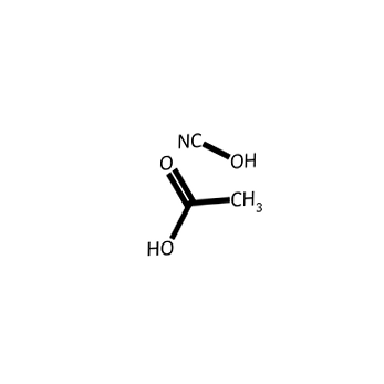 CC(=O)O.N#CO